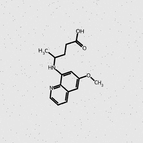 COc1cc(NC(C)CCC(=O)O)c2ncccc2c1